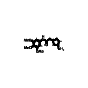 COc1cc(NC(=O)CC2CCC(N)C2)cc(OC)c1OC